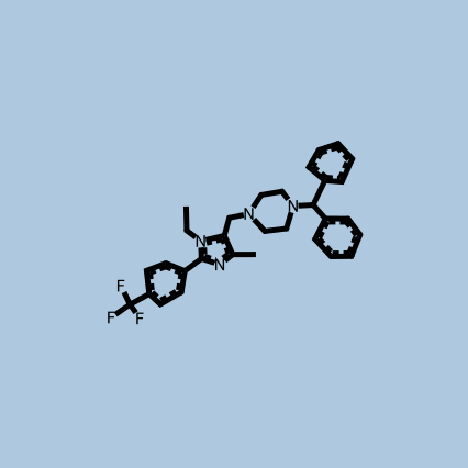 CCn1c(-c2ccc(C(F)(F)F)cc2)nc(C)c1CN1CCN(C(c2ccccc2)c2ccccc2)CC1